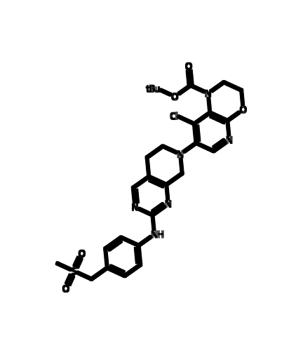 CC(C)(C)OC(=O)N1CCOc2ncc(N3CCc4cnc(Nc5ccc(CS(C)(=O)=O)cc5)nc4C3)c(Cl)c21